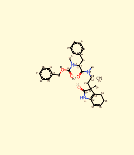 CN(C(=O)[C@H](Cc1ccccc1)N(C)C(=O)OCc1ccccc1)[C@H](C#N)C[C@@]1(C)C(=O)NC2=C1CCC=C2